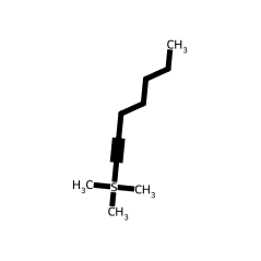 CCCCCC#CS(C)(C)C